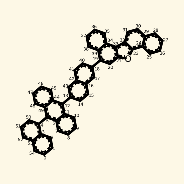 c1ccc2c(-c3c4ccccc4c(-c4ccc5cc(-c6cc7oc8c9ccccc9ccc8c7c7ccccc67)ccc5c4)c4ccccc34)cccc2c1